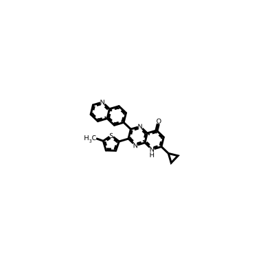 Cc1ccc(-c2nc3[nH]c(C4CC4)cc(=O)c3nc2-c2ccc3ncccc3c2)s1